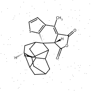 CC1=C2C(=O)OC(=O)[C@@H]2[C@]2(c3sccc31)C1C[C@@H]3C4CC5CC(C42)[C@H](C1)C3C5